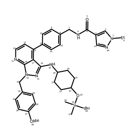 CCn1cc(C(=O)NCc2ccc(-c3ccnc4c3c(NC3CCC(O[Si](C)(C)C(C)(C)C)CC3)nn4Cc3ccc(OC)cc3)cc2)cn1